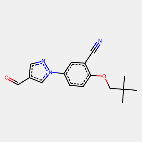 CC(C)(C)COc1ccc(-n2cc(C=O)cn2)cc1C#N